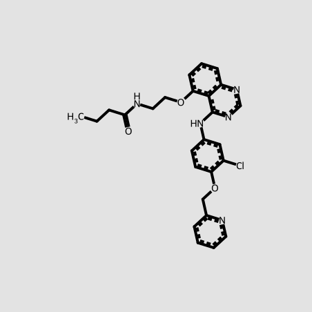 CCCC(=O)NCCOc1cccc2ncnc(Nc3ccc(OCc4ccccn4)c(Cl)c3)c12